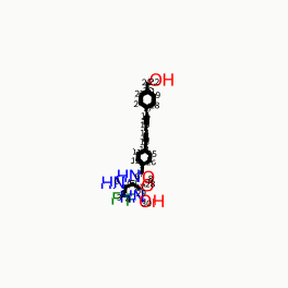 N=C(C(F)F)[C@H](NC(=O)c1ccc(C#CC#Cc2ccc(CO)cc2)cc1)C(=O)NO